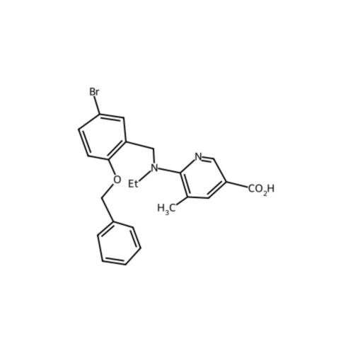 CCN(Cc1cc(Br)ccc1OCc1ccccc1)c1ncc(C(=O)O)cc1C